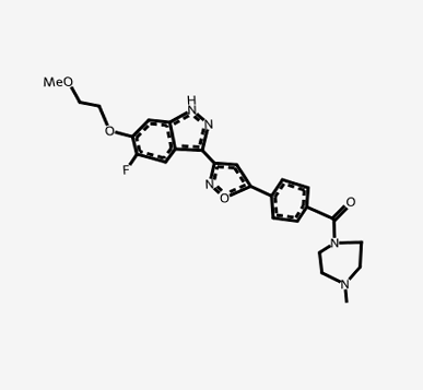 COCCOc1cc2[nH]nc(-c3cc(-c4ccc(C(=O)N5CCN(C)CC5)cc4)on3)c2cc1F